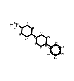 PC1CCC(C2CCC(c3ccccc3)CC2)CC1